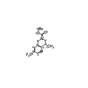 CC1CN(C(=O)OC(C)(C)C)Cc2cc(C(F)(F)F)cnc21